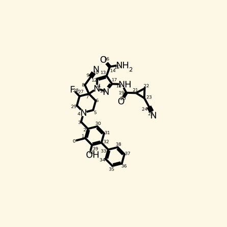 Cc1c(CN2CCC(CC#N)(n3cc(C(N)=O)c(NC(=O)C4CC4C#N)n3)C(F)C2)ccc(-c2ccccc2)c1O